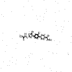 CCC(=S)NC[C@H]1CN(c2ccc(N3CCN(C(=O)CC(C)=O)CC3)c(F)c2)C(=O)O1